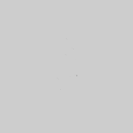 Cc1cnc2nc(-c3cc(NC(=O)Cc4ncccn4)ccc3Cl)[nH]c2c1